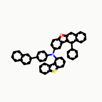 c1ccc(-c2c3ccccc3cc3oc4ccc(N(c5ccc(-c6ccc7ccccc7c6)cc5)c5cccc6sc7ccccc7c56)cc4c23)cc1